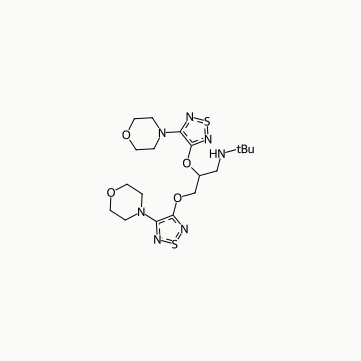 CC(C)(C)NCC(COc1nsnc1N1CCOCC1)Oc1nsnc1N1CCOCC1